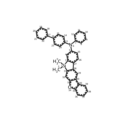 C[Si]1(C)c2cc(N(c3ccccc3)c3ccc(-c4ccccc4)cc3)ccc2-c2cc3c(cc21)oc1ccccc13